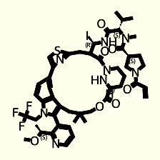 C=CC(=O)N1CC[C@H](C(=O)N(C)[C@H](C(=O)N[C@H](I)C2Cc3nc(cs3)-c3ccc4c(c3)c(c(-c3cccnc3[C@H](C)OC)n4CC(F)(F)F)CC(C)(C)COC(=O)[C@@H]3CCCN(N3)C2=O)C(C)C)C1